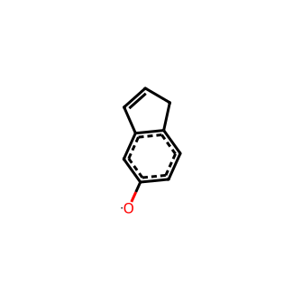 [O]c1ccc2c(c1)C=CC2